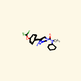 CN(C(=O)n1cnc(-c2ccc(OC(F)F)cc2)c1)C1CCCCC1